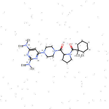 CCOC(=O)C1(C(=O)N2CCCC2C(=O)N2CCN(c3cc(N(CC)CC)nc(N(CC)CC)n3)CC2)CCCCC1